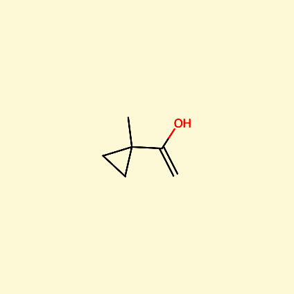 C=C(O)C1(C)CC1